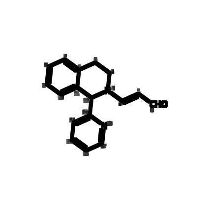 O=CC=CN1CCc2ccccc2C1c1ccccn1